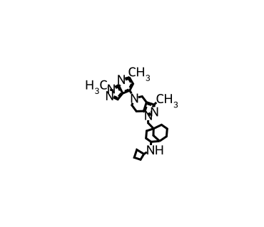 Cc1cc(N2CCc3c(c(C)nn3CC34CCCC(C3)C(NC3CCC3)CC4)C2)c2cnn(C)c2n1